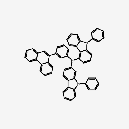 c1ccc(-n2c3ccccc3c3ccc(N(c4cccc(-c5cc6ccccc6c6ccccc56)c4)c4cccc5c4c4ccccc4n5-c4ccccc4)cc32)cc1